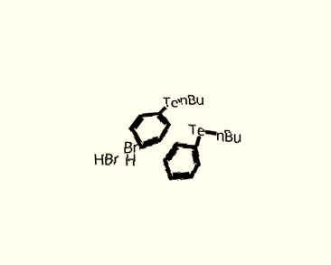 Br.Br.CCCC[Te]c1ccccc1.CCCC[Te]c1ccccc1